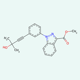 COC(=O)c1nn(-c2cccc(C#CC(C)(C)O)c2)c2ccccc12